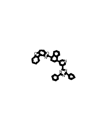 c1ccc(-c2nc(-c3ccccc3)nc(-c3cncc(-c4ccc(-c5nc6c(ccc7oc8ccccc8c76)o5)c5ccccc45)c3)n2)cc1